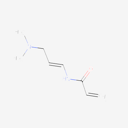 C=CC(=O)NC=CCN(C)C